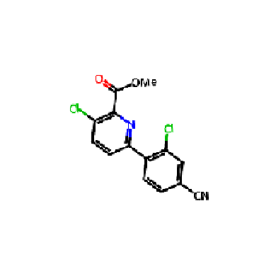 COC(=O)c1nc(-c2ccc(C#N)cc2Cl)ccc1Cl